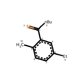 CCCCC(=S)c1cc(CC)ccc1C